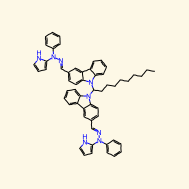 CCCCCCCCCC(n1c2ccccc2c2cc(/C=N/N(c3ccccc3)c3ccc[nH]3)ccc21)n1c2ccccc2c2cc(/C=N/N(c3ccccc3)c3ccc[nH]3)ccc21